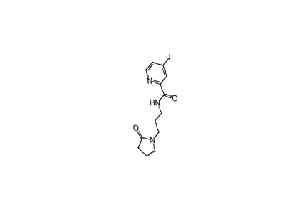 O=C(NCCCN1CCCC1=O)c1cc(I)ccn1